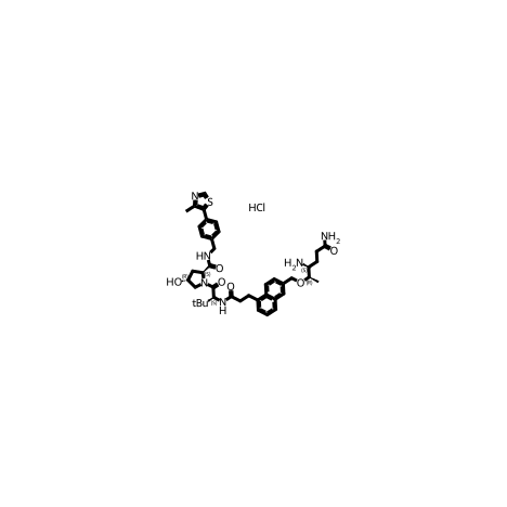 Cc1ncsc1-c1ccc(CNC(=O)[C@@H]2C[C@@H](O)CN2C(=O)[C@@H](NC(=O)CCc2cccc3cc(CO[C@H](C)[C@@H](N)CCC(N)=O)ccc23)C(C)(C)C)cc1.Cl